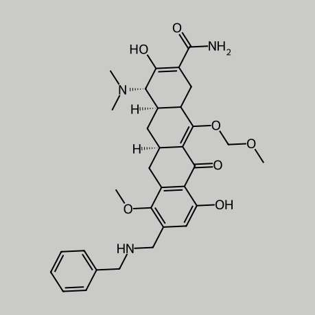 COCOC1=C2C(=O)c3c(O)cc(CNCc4ccccc4)c(OC)c3C[C@H]2C[C@@H]2C1CC(C(N)=O)=C(O)[C@H]2N(C)C